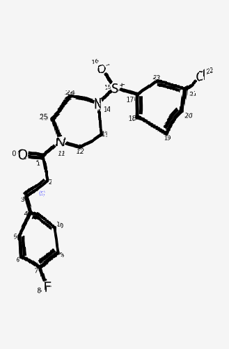 O=C(/C=C/c1ccc(F)cc1)N1CCN([S+]([O-])c2cccc(Cl)c2)CC1